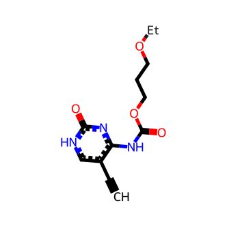 C#Cc1c[nH]c(=O)nc1NC(=O)OCCCOCC